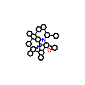 c1ccc(-c2cc(-c3ccccc3)cc(N3c4cc5c(-c6ccccc6)c6ccccc6c(-c6ccccc6)c5cc4B4c5c3cc3c(oc6ccccc63)c5-c3cc5ccccc5c5c6c7ccccc7ccc6n4c35)c2)cc1